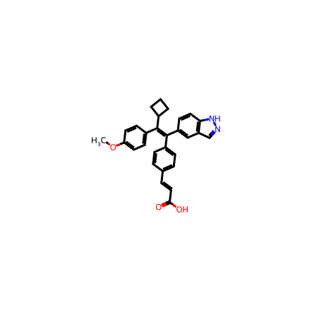 COc1ccc(/C(=C(\c2ccc(/C=C/C(=O)O)cc2)c2ccc3[nH]ncc3c2)C2CCC2)cc1